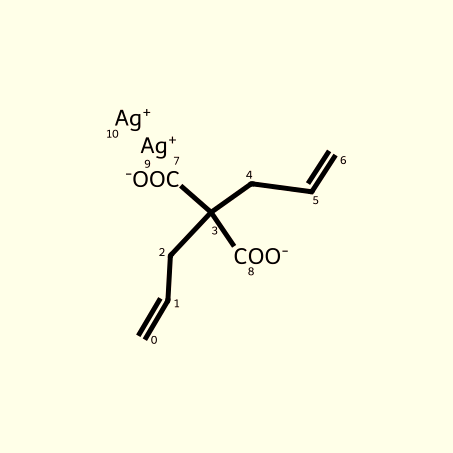 C=CCC(CC=C)(C(=O)[O-])C(=O)[O-].[Ag+].[Ag+]